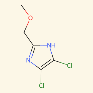 COCc1nc(Cl)c(Cl)[nH]1